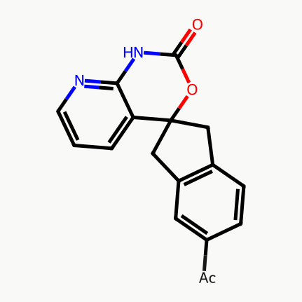 CC(=O)c1ccc2c(c1)CC1(C2)OC(=O)Nc2ncccc21